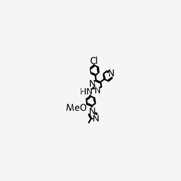 COc1cc(Nc2ncc(-c3ccncc3)c(-c3ccc(Cl)cc3)n2)ccc1-n1cnc(C)c1